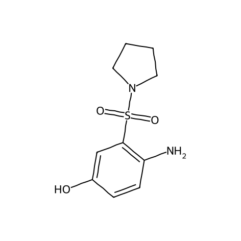 Nc1ccc(O)cc1S(=O)(=O)N1CCCC1